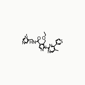 CCOCc1c(C(=O)NCc2cncn2C)cnn1-c1ncc(C)c(-c2ccsc2)n1